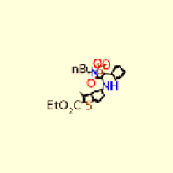 CCCCN1C(=O)C(Nc2ccc3sc(C(=O)OCC)c(C)c3c2)=C(c2ccccc2)S1(=O)=O